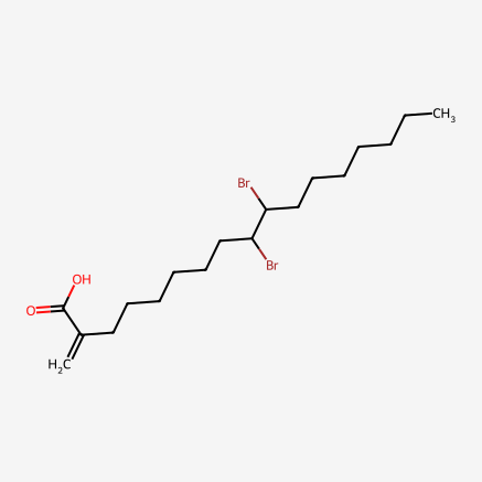 C=C(CCCCCCC(Br)C(Br)CCCCCCC)C(=O)O